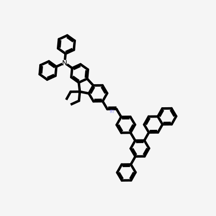 CCC1(CC)c2cc(/C=C/c3ccc(-c4cc(-c5ccccc5)ccc4-c4ccc5ccccc5c4)cc3)ccc2-c2ccc(N(c3ccccc3)c3ccccc3)cc21